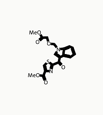 COC(=O)COCn1cc(C(=O)c2nc(C(=O)OC)cs2)c2ccccc21